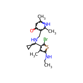 CCNc1sc(Br)c(C(NCc2c(C)[nH]c(C)cc2=O)=C2CC2)c1C